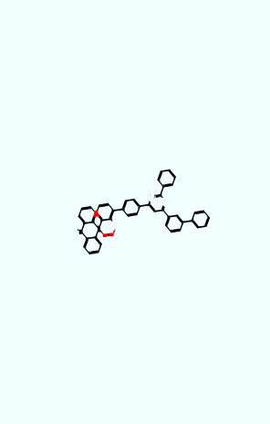 CC1(C)c2ccccc2C2(c3ccccc3Oc3c(-c4ccc(-c5cc(-c6cccc(-c7ccccc7)c6)nc(-c6ccccc6)n5)cc4)cccc32)c2ccccc21